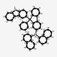 c1ccc(C2(c3ccc4sc5ccccc5c4c3)c3ccccc3-c3ccc(N(c4cccc5ccccc45)c4cccc5ccccc45)cc32)cc1